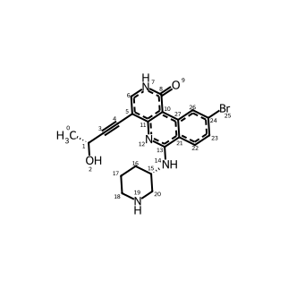 C[C@@H](O)C#Cc1c[nH]c(=O)c2c1nc(N[C@H]1CCCNC1)c1ccc(Br)cc12